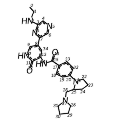 CCNc1cncc(-c2c[nH]c(=O)c(NC(=O)c3ccc(N4CCCC4CN4CCCC4)cc3)c2)n1